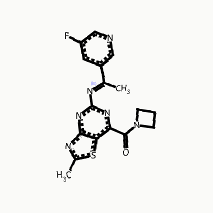 C/C(=N\c1nc(C(=O)N2CCC2)c2sc(C)nc2n1)c1cncc(F)c1